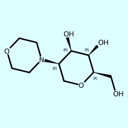 OC[C@H]1OC[C@@H](N2CCOCC2)[C@@H](O)[C@H]1O